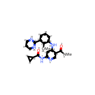 CNC(=O)c1cnc(NC(=O)C2CC2)cc1Nc1cccc(-c2ncccn2)c1OC